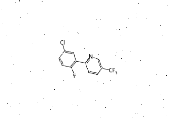 Fc1ccc(Cl)cc1-c1ccc(C(F)(F)F)cn1